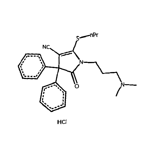 CCCSC1=C(C#N)C(c2ccccc2)(c2ccccc2)C(=O)N1CCCN(C)C.Cl